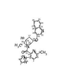 Cc1ccc(-n2nccn2)c(C(=O)N2C3C[C@H](C[C@H]3Oc3cnc4ccccc4c3)[C@H]2C)n1